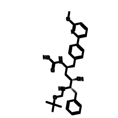 COc1cccc(-c2ccc(C[C@@H](C[C@H](O)[C@H](Cc3ccccc3)NCOC(C)(C)C)NC(=O)O)cc2)n1